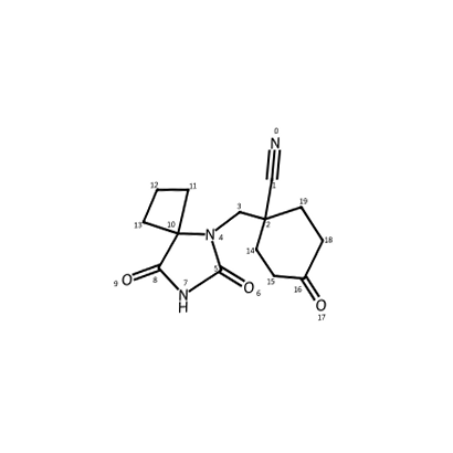 N#CC1(CN2C(=O)NC(=O)C23CCC3)CCC(=O)CC1